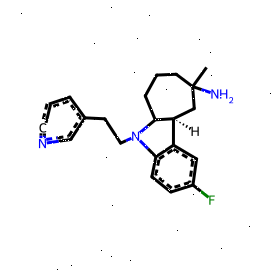 CC1(N)CCCC2[C@@H](C1)c1cc(F)ccc1N2CCc1cccnc1